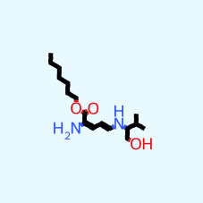 CCCCCCCOC(=O)/C(N)=C\C=C\NC(CO)C(C)C